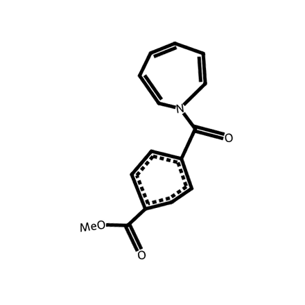 COC(=O)c1ccc(C(=O)N2C=CC=CC=C2)cc1